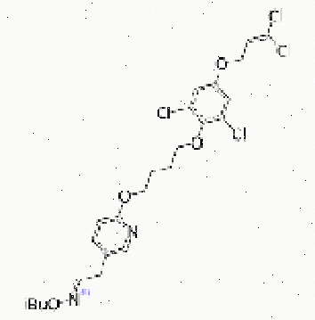 CC(C)CO/N=C/Cc1ccc(OCCCCOc2c(Cl)cc(OCC=C(Cl)Cl)cc2Cl)nc1